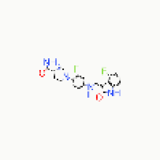 NC(=O)C1CCN(c2ccc(NC=C3C(=O)Nc4cccc(F)c43)cc2F)CC1